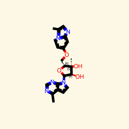 Cc1ncnc2c1ccn2C1O[C@H](COc2ccn3c(C)cnc3c2)[C@@](C)(O)[C@H]1O